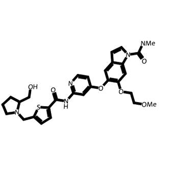 CNC(=O)n1ccc2cc(Oc3ccnc(NC(=O)c4ccc(CN5CCCC5CO)s4)c3)c(OCCOC)cc21